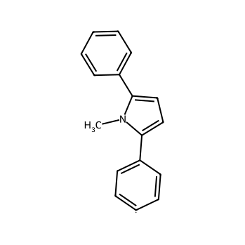 Cn1c(-c2cc[c]cc2)ccc1-c1ccccc1